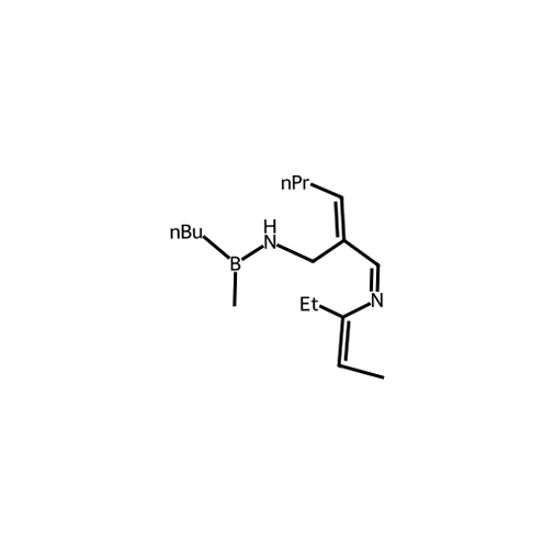 C\C=C(CC)/N=C\C(=C\CCC)CNB(C)CCCC